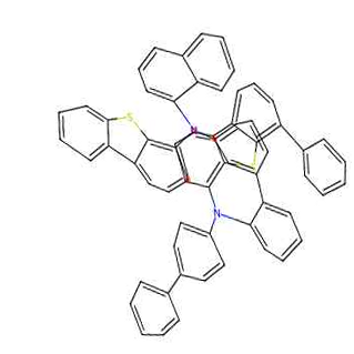 c1ccc(-c2ccc(N(c3ccccc3-c3cccc(N(c4cccc5ccccc45)c4cccc5c4sc4ccccc45)c3)c3cccc4c3sc3c(-c5ccccc5)cccc34)cc2)cc1